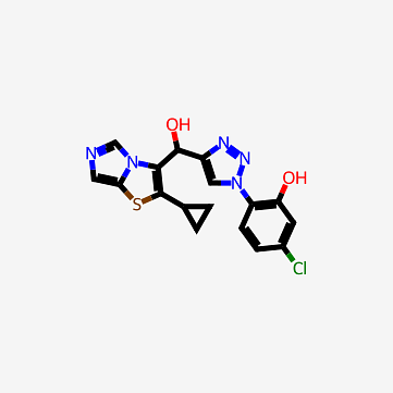 Oc1cc(Cl)ccc1-n1cc(C(O)c2c(C3CC3)sc3cncn23)nn1